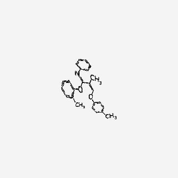 CC(=COc1ccc(C)cc1)C(=Nc1ccccc1)Oc1ccccc1C